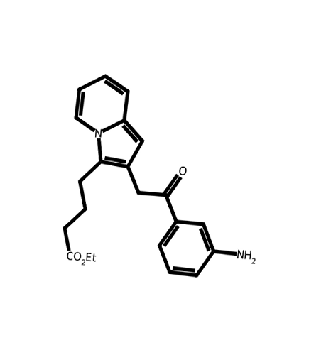 CCOC(=O)CCCc1c(CC(=O)c2cccc(N)c2)cc2ccccn12